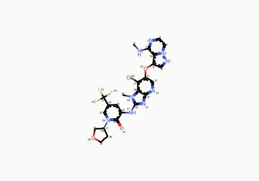 CNc1nccn2ncc(Oc3cnc4nc(Nc5cc(C(F)(F)F)cn([C@H]6CCOC6)c5=O)n(C)c4c3Cl)c12